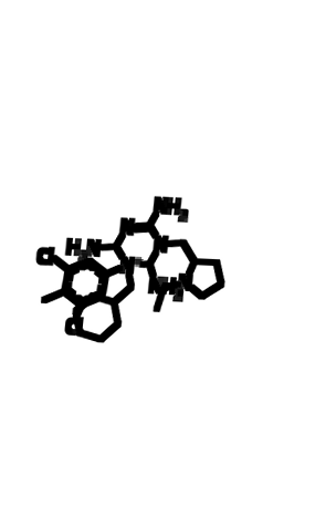 CCN1CCCC1CN1C(N)=NC(N)[N+](CC2CCCCC2)(c2cc(Cl)c(C)c(Cl)c2)C1N